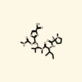 CCC(C)[C@H](NC(=O)[C@@]1(C)CCCN1C)C(=O)N(C)[C@H](C[C@@H](OC(=O)NC)c1nc(C(=O)O)cs1)C(C)C